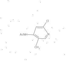 CC(=O)Nc1cc(Cl)ncc1C